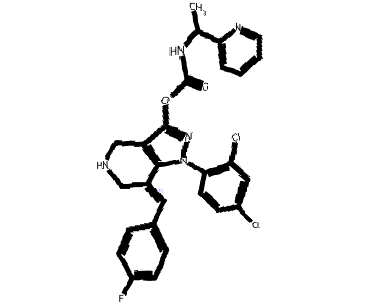 CC(NC(=O)Oc1nn(-c2ccc(Cl)cc2Cl)c2c1CNC/C2=C\c1ccc(F)cc1)c1ccccn1